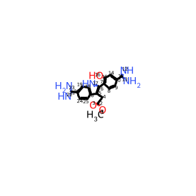 COC(=O)Cc1c(-c2ccc(C(=N)N)cc2O)[nH]c2cc(C(=N)N)ccc12